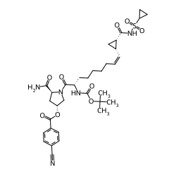 CC(C)(C)OC(=O)N[C@@H](CCCCC/C=C\[C@@H]1C[C@@H]1C(=O)NS(=O)(=O)C1CC1)C(=O)N1C[C@H](OC(=O)c2ccc(C#N)cc2)C[C@H]1C(N)=O